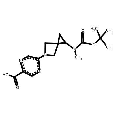 CN(C(=O)OC(C)(C)C)C1CC12CN(c1cnc(C(=O)O)cn1)C2